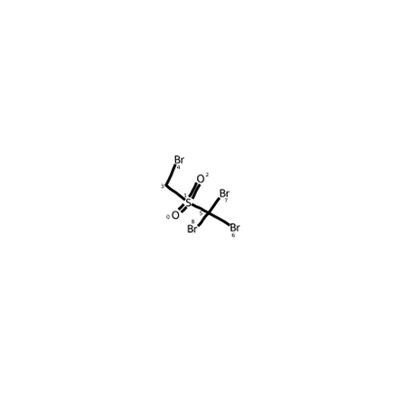 O=S(=O)(CBr)C(Br)(Br)Br